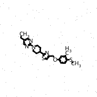 CCc1cnc(N2CCC(c3nc(COc4ccc(SC)c(C)c4)cs3)CC2)nc1